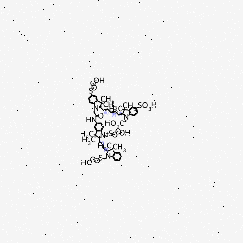 CC1(C)C(/C=C/C=C2/N(CSOOO)c3ccccc3C2(C)C)=[N+](CSOOO)c2ccc(NC(=O)C[N+]3=C(/C=C/C=C/C=C4/N(CC(=O)O)c5ccc(S(=O)(=O)O)cc5C4(C)C)C(C)(C)c4cc(SOOO)ccc43)cc21